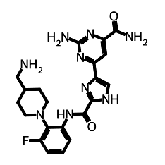 NCC1CCN(c2c(F)cccc2NC(=O)c2nc(-c3cc(C(N)=O)nc(N)n3)c[nH]2)CC1